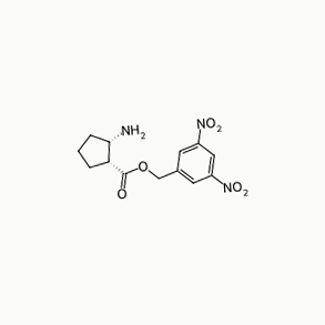 N[C@H]1CCC[C@H]1C(=O)OCc1cc([N+](=O)[O-])cc([N+](=O)[O-])c1